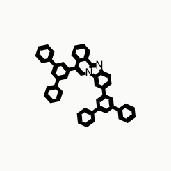 c1ccc(-c2cc(-c3ccccc3)cc(-c3ccc4nc5c6ccccc6c(-c6cc(-c7ccccc7)cc(-c7ccccc7)c6)cn5c4c3)c2)cc1